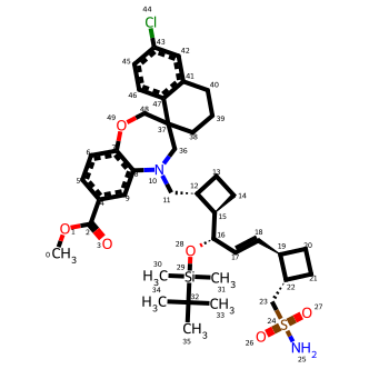 COC(=O)c1ccc2c(c1)N(C[C@@H]1CC[C@H]1[C@H](/C=C/[C@H]1CC[C@@H]1CS(N)(=O)=O)O[Si](C)(C)C(C)(C)C)CC1(CCCc3cc(Cl)ccc31)CO2